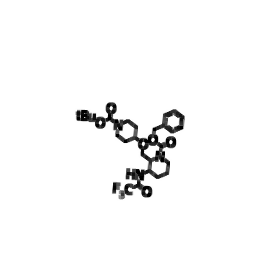 CC(C)(C)OC(=O)N1CCC(OCC2C(NC(=O)C(F)(F)F)CCCN2C(=O)OCc2ccccc2)CC1